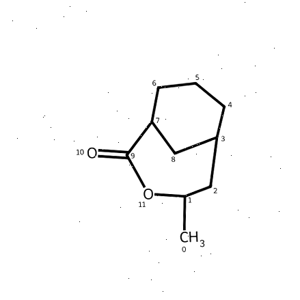 CC1CC2CCCC(C2)C(=O)O1